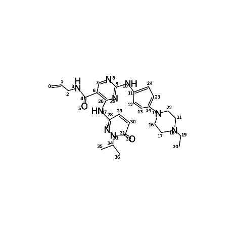 C=CCNC(=O)c1cnc(Nc2ccc(N3CCN(CC)CC3)cc2)nc1Nc1ccc(=O)n(C(C)C)n1